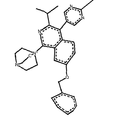 Cc1ncc(-c2c(C(C)C)nc([N+]34CCN(CC3)CC4)c3cc(OCc4ccccc4)ccc23)cn1